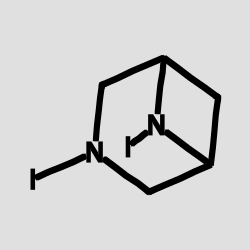 IN1CC2CC(C1)N2I